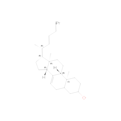 CC(C)CCC[C@@H](C)[C@H]1CC[C@H]2C3=CCC4CC([O])CC[C@]4(C)[C@H]3CC[C@]12C